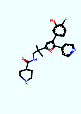 CC(C)(CNC(=O)C1CCNCC1)c1cc(-c2ccc(Cl)c(O)c2)c(-c2ccncc2)o1